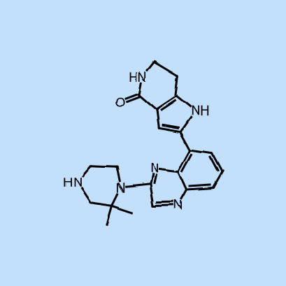 CC1(C)CNCCN1c1cnc2cccc(-c3cc4c([nH]3)CCNC4=O)c2n1